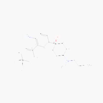 COCCN(C)C1CCC(O)(c2ccc(N)c(C3=CCC(C)(C)CC3)c2)CC1